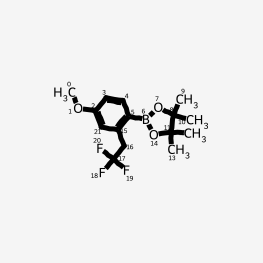 COc1ccc(B2OC(C)(C)C(C)(C)O2)c(CC(F)(F)F)c1